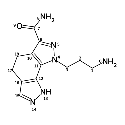 NCCCn1nc(C(N)=O)c2c1-c1[nH]ncc1CC2